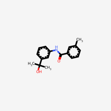 Cc1cccc(C(=O)Nc2cccc(C(C)(C)O)c2)c1